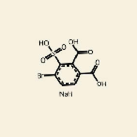 O=C(O)c1ccc(Br)c(S(=O)(=O)O)c1C(=O)O.[NaH]